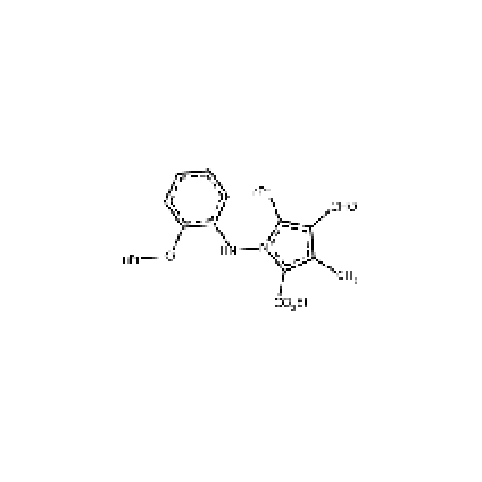 CCCOc1ccccc1Nn1c(CCC)c(C=O)c(C)c1C(=O)OCC